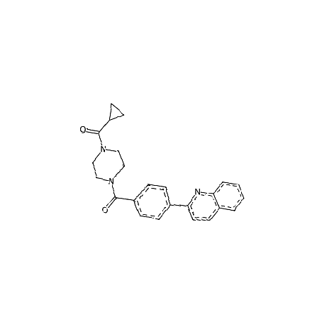 O=C(c1ccc(-c2ccc3ccccc3n2)cc1)N1CCN(C(=O)C2CC2)CC1